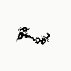 CC(C)C(=O)Nc1cccc(C2CCN(CCCCCC(Oc3cc(C(F)(F)F)ccc3F)c3cccc(F)c3)CC2)c1